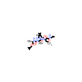 C=CCNC(=O)C(=O)C(CCC(F)(F)F)NC(=O)[C@@H]1C2[C@H](CN1C(=O)[C@@H](NC(=O)N[C@H](C(=O)OCC1CC1)C(C)(C)C)C(C)(C)C)C2(C)C